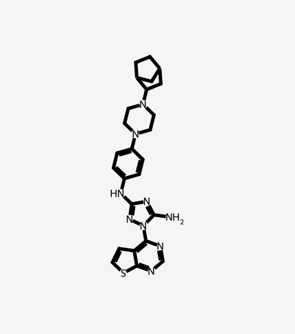 Nc1nc(Nc2ccc(N3CCN(C4CC5CCC4C5)CC3)cc2)nn1-c1ncnc2sccc12